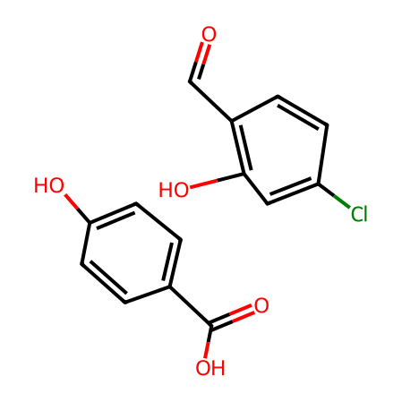 O=C(O)c1ccc(O)cc1.O=Cc1ccc(Cl)cc1O